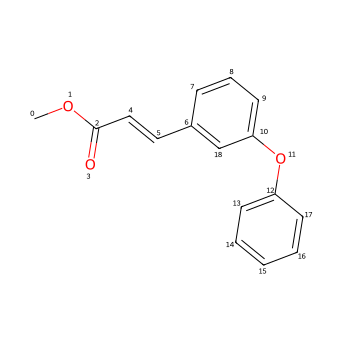 COC(=O)/C=C/c1cccc(Oc2ccccc2)c1